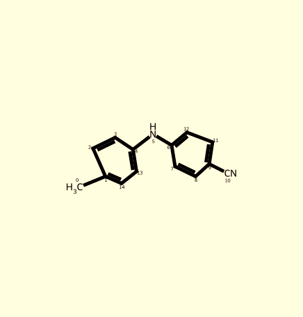 Cc1ccc(Nc2ccc(C#N)cc2)cc1